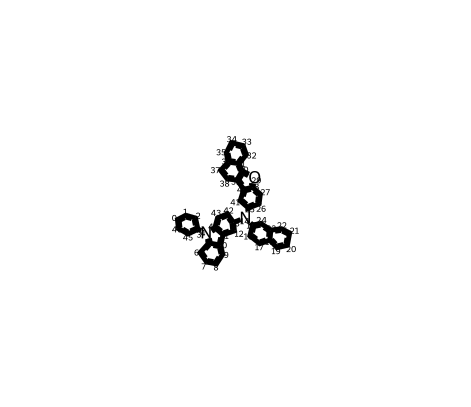 c1ccc(-n2c3ccccc3c3cc(N(c4ccc5ccccc5c4)c4ccc5oc6c7ccccc7ccc6c5c4)ccc32)cc1